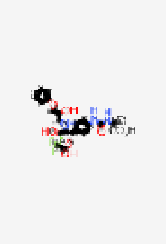 CCC(NC(=O)Nc1ccc(C[C@@H](CO)NC[C@H](O)COc2ccccc2)cc1)C(=O)O.O=C(O)C(F)(F)F